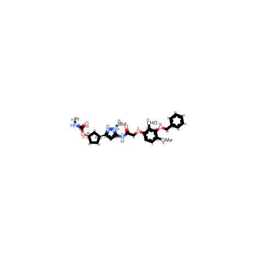 COc1ccc(OCC(=O)Nc2cc([C@H]3CC[C@@H](OC(=O)NC(C)C)C3)nn2C(C)(C)C)c(C=O)c1OCc1ccccc1